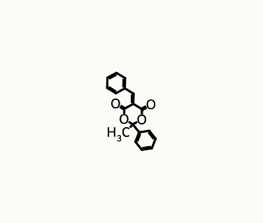 CC1(c2ccccc2)OC(=O)C(=Cc2ccccc2)C(=O)O1